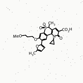 COCCCOc1cc2c(cc1-c1ccc(C)o1)-c1c(cc(C(=O)O)c(=O)n1C1CC1)C(C)S2(=O)=O